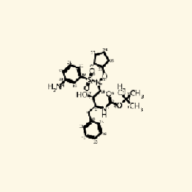 CC(C)(C)OC(=O)N[C@@H](Cc1ccccc1)[C@@H](O)CN(OC1CCCC1)S(=O)(=O)c1cccc(N)c1